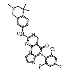 CN1Cc2cc(Nc3ncc4c(=O)n(-c5c(F)cc(F)cc5Cl)c5nccn5c4n3)ccc2C(C)(C)C1